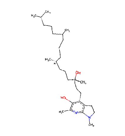 Cc1nc2c(c(CCC(C)(O)CCC[C@H](C)CCCC(C)CCCC(C)C)c1O)CCN2C